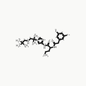 CCCC(NC(=O)Cc1cc(F)cc(F)c1)C(=O)Nc1cn(C(C)(C)CNCC(C)(C)C)cn1